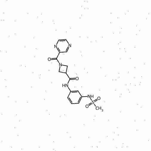 CS(=O)(=O)Nc1cccc(NC(=O)C2CN(C(=O)c3cnccn3)C2)c1